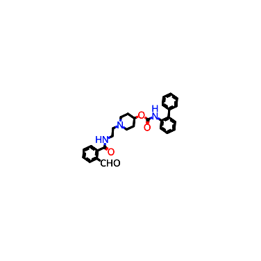 O=Cc1ccccc1C(=O)NCCN1CCC(OC(=O)Nc2ccccc2-c2ccccc2)CC1